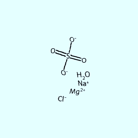 O.O=S(=O)([O-])[O-].[Cl-].[Mg+2].[Na+]